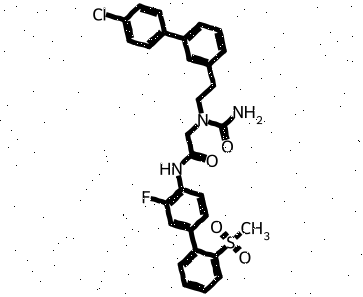 CS(=O)(=O)c1ccccc1-c1ccc(NC(=O)CN(CCc2cccc(-c3ccc(Cl)cc3)c2)C(N)=O)c(F)c1